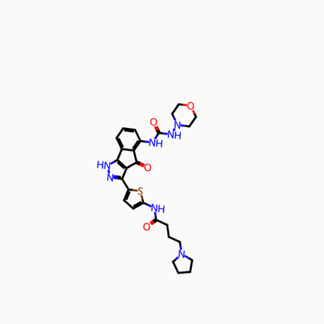 O=C(CCCN1CCCC1)Nc1ccc(-c2n[nH]c3c2C(=O)c2c(NC(=O)NN4CCOCC4)cccc2-3)s1